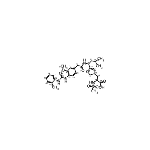 COc1cc(CC(=O)NC(CC(C)C)C2=NC(CC(NS(C)(=O)=O)C(=O)O)CO2)ccc1NC(=O)Nc1ccccc1C